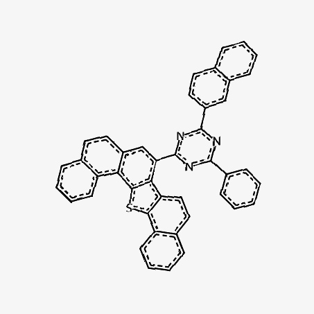 c1ccc(-c2nc(-c3ccc4ccccc4c3)nc(-c3cc4ccc5ccccc5c4c4sc5c6ccccc6ccc5c34)n2)cc1